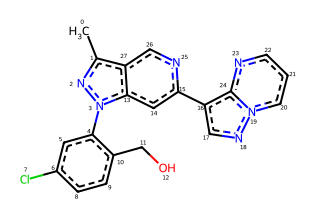 Cc1nn(-c2cc(Cl)ccc2CO)c2cc(-c3cnn4cccnc34)ncc12